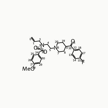 C=CCN(CCN1CCC(C(=O)c2ccc(F)cc2)CC1)S(=O)(=O)c1ccc(OC)cc1